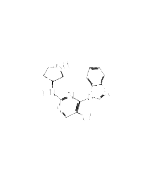 Clc1cnc(NC2CCNC2)nc1-n1cnc2ccccc21